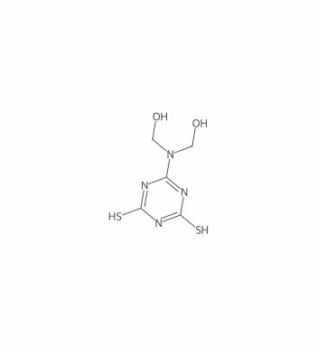 OCN(CO)c1nc(S)nc(S)n1